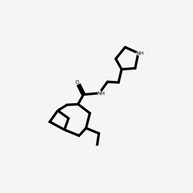 CCC1CC2CC(C2)CC(C(=O)NCCC2CCNC2)C1